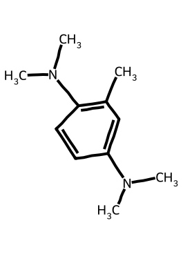 Cc1cc(N(C)C)ccc1N(C)C